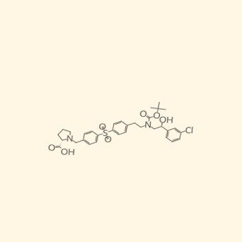 CC(C)(C)OC(=O)N(CCc1ccc(S(=O)(=O)c2ccc(CN3CCC[C@H]3C(=O)O)cc2)cc1)C[C@@H](O)c1cccc(Cl)c1